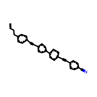 C=CCCc1ccc(C#Cc2ccc(-c3ccc(C#Cc4ccc(C#N)cc4)cc3)cc2)cc1